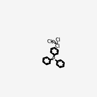 [Cl][Ru]([Cl])[Cl].c1ccc(P(c2ccccc2)c2ccccc2)cc1